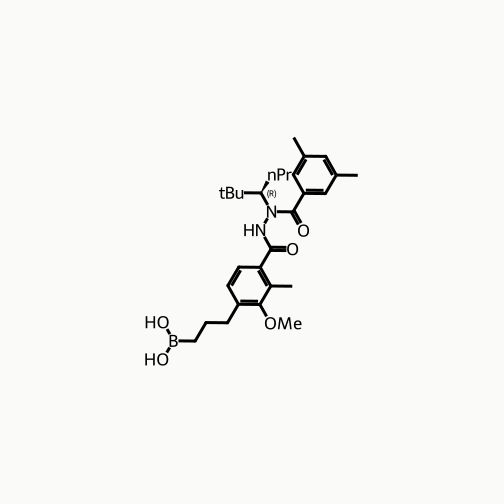 CCC[C@@H](N(NC(=O)c1ccc(CCCB(O)O)c(OC)c1C)C(=O)c1cc(C)cc(C)c1)C(C)(C)C